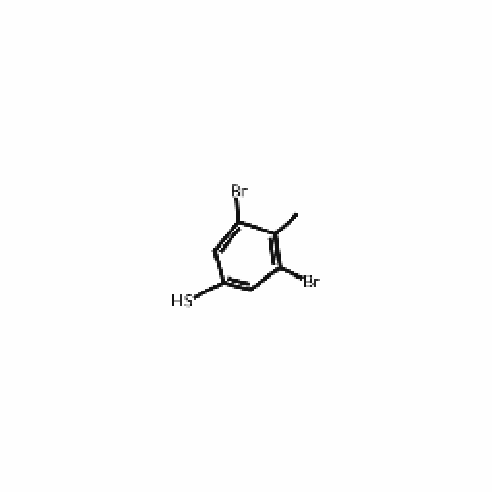 Cc1c(Br)cc(S)cc1Br